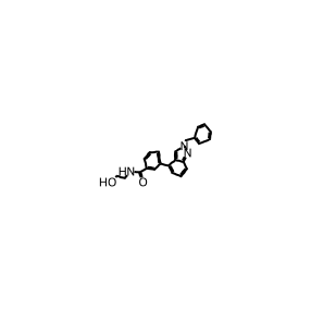 O=C(NCCO)c1cccc(-c2cccc3nn(Cc4ccccc4)cc23)c1